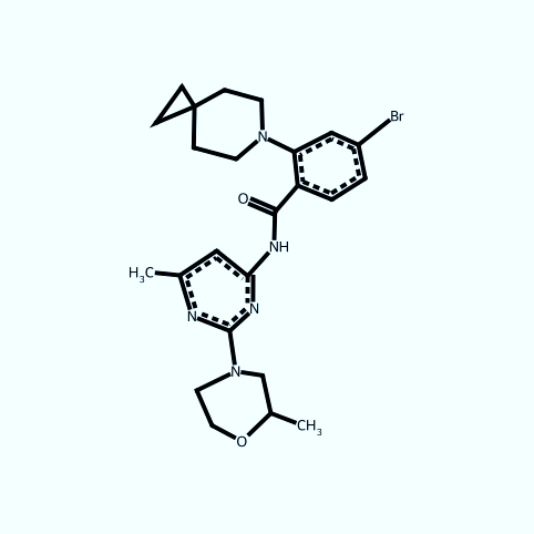 Cc1cc(NC(=O)c2ccc(Br)cc2N2CCC3(CC2)CC3)nc(N2CCOC(C)C2)n1